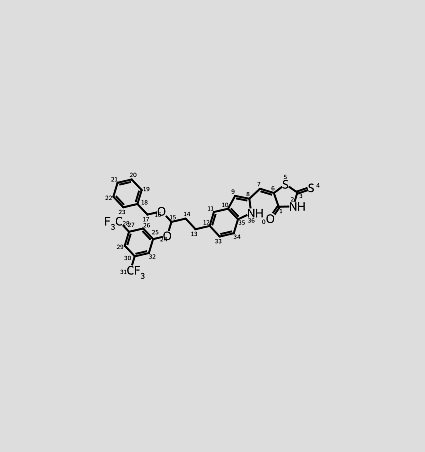 O=C1NC(=S)SC1=Cc1cc2cc(CCC(OCc3ccccc3)Oc3cc(C(F)(F)F)cc(C(F)(F)F)c3)ccc2[nH]1